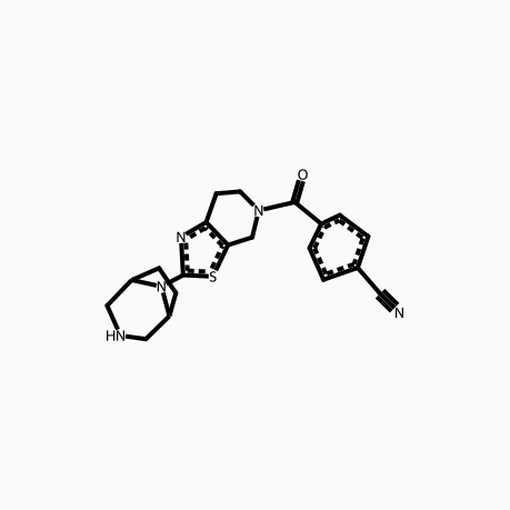 N#Cc1ccc(C(=O)N2CCc3nc(N4C5CCC4CNC5)sc3C2)cc1